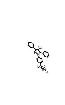 NS(=O)(=O)c1ccc(-n2nc(-c3ccccc3)c(Cl)c2-c2ccccc2)cc1